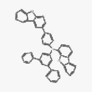 c1ccc(-c2cc(-c3ccccc3)cc(N(c3ccc(-c4ccc5oc6ccccc6c5c4)cc3)c3cccc4c3oc3ccccc34)c2)cc1